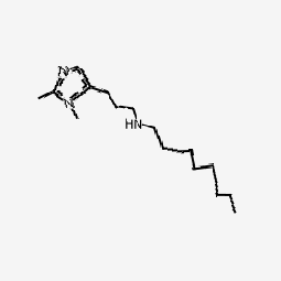 CCCCCCCCNCCCc1cnc(C)n1C